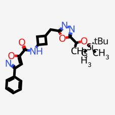 CC(O[Si](C)(C)C(C)(C)C)c1nnc(CC2CC(NC(=O)c3cc(-c4ccccc4)no3)C2)o1